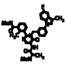 CNC(=O)c1cccc(-c2ncc(NC(=O)[C@H](C)NC)c(=O)n2Cc2cccc(-n3cc(C)c4cc(F)ccc43)c2)c1C